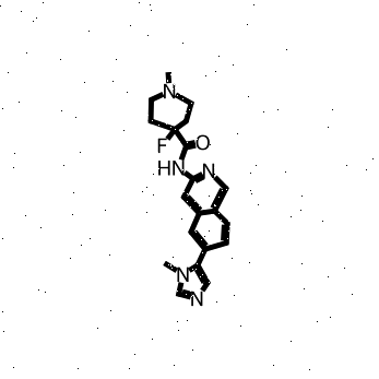 CN1CCC(F)(C(=O)Nc2cc3cc(-c4cncn4C)ccc3cn2)CC1